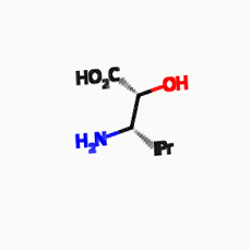 CC(C)[C@H](N)[C@@H](O)C(=O)O